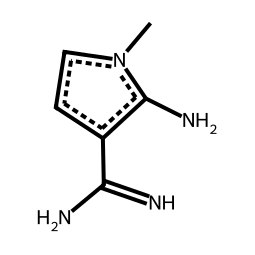 Cn1ccc(C(=N)N)c1N